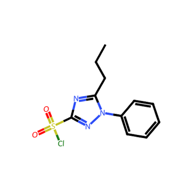 CCCc1nc(S(=O)(=O)Cl)nn1-c1ccccc1